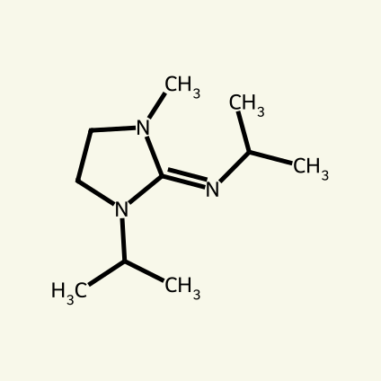 CC(C)/N=C1\N(C)CCN1C(C)C